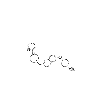 CC(C)(C)C1CCC(Oc2ccc3cc(CN4CCCN(c5ccccn5)CC4)ccc3c2)CC1